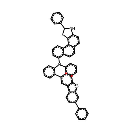 c1ccc(-c2ccc3c(c2)sc2ccc(-c4ccccc4N(c4ccccc4)c4cccc5c4ccc4ccc6c(c45)SC(c4ccccc4)N6)cc23)cc1